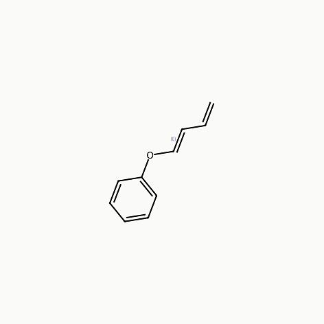 C=C/C=C/Oc1ccccc1